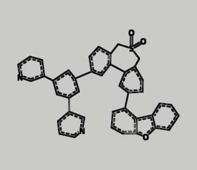 O=S1(=O)Cc2ccc(-c3cc(-c4cccnc4)cc(-c4cccnc4)c3)cc2-c2cc(-c3cccc4oc5ccccc5c34)ccc2C1